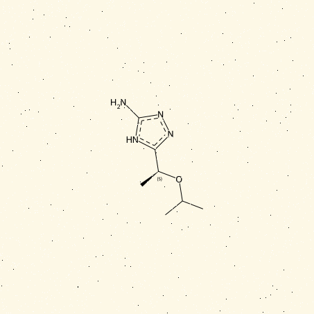 CC(C)O[C@@H](C)c1nnc(N)[nH]1